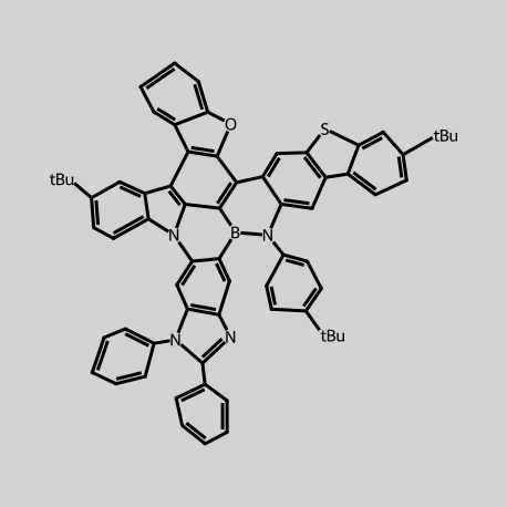 CC(C)(C)c1ccc(N2B3c4cc5nc(-c6ccccc6)n(-c6ccccc6)c5cc4-n4c5ccc(C(C)(C)C)cc5c5c6c(oc7ccccc76)c(c3c54)-c3cc4sc5cc(C(C)(C)C)ccc5c4cc32)cc1